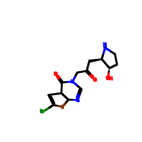 O=C(C[C@H]1NCC[C@@H]1O)CN1C=NC2SC(Br)=CC2C1=O